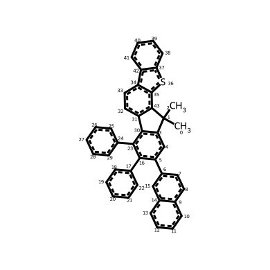 CC1(C)c2cc(-c3ccc4ccccc4c3)c(-c3ccccc3)c(-c3ccccc3)c2-c2ccc3c(sc4ccccc43)c21